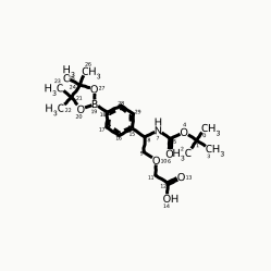 CC(C)(C)OC(=O)NC(COCC(=O)O)c1ccc(B2OC(C)(C)C(C)(C)O2)cc1